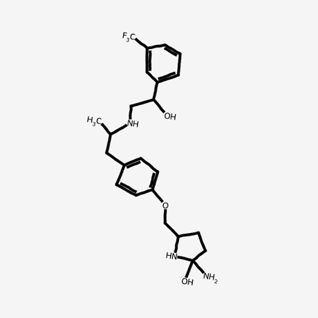 CC(Cc1ccc(OCC2CCC(N)(O)N2)cc1)NCC(O)c1cccc(C(F)(F)F)c1